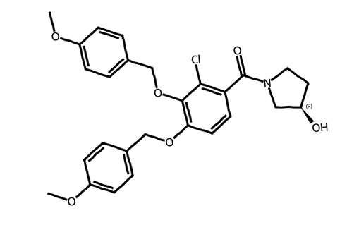 COc1ccc(COc2ccc(C(=O)N3CC[C@@H](O)C3)c(Cl)c2OCc2ccc(OC)cc2)cc1